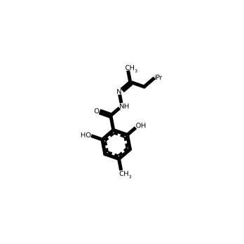 CC(CC(C)C)=NNC(=O)c1c(O)cc(C)cc1O